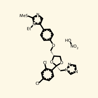 CCn1c(-c2ccc(OC[C@@H]3CO[C@@](Cn4cncn4)(c4ccc(Cl)cc4Cl)O3)cc2)cnc1SC.O=[N+]([O-])O